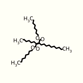 CCCCCCCCCCC(C(=O)OCCCCCCCC)=C(CCCCCC)C(=O)OCCCCCCCC